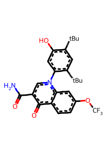 CC(C)(C)c1cc(C(C)(C)C)c(-n2cc(C(N)=O)c(=O)c3ccc(OC(F)(F)F)cc32)cc1O